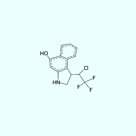 Oc1cc2c(c3ccccc13)C(C(Cl)C(F)(F)F)CN2